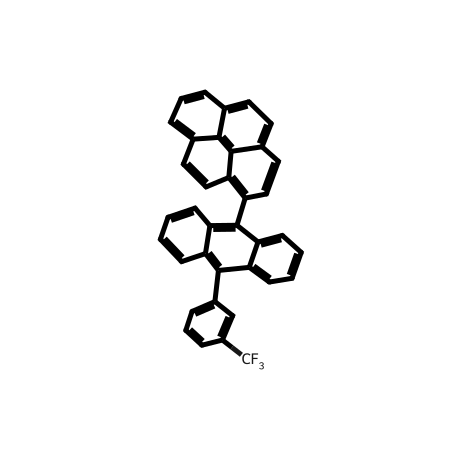 FC(F)(F)c1cccc(-c2c3ccccc3c(-c3ccc4ccc5cccc6ccc3c4c56)c3ccccc23)c1